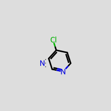 Clc1ccncc1.[N]